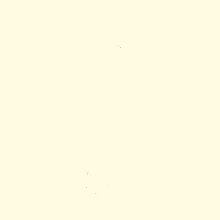 COc1ccc(C2N=NN(C)N2)cc1/C=C/CCCCc1csc(C)n1